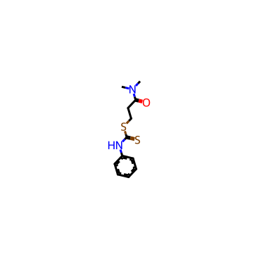 CN(C)C(=O)CCSC(=S)Nc1ccccc1